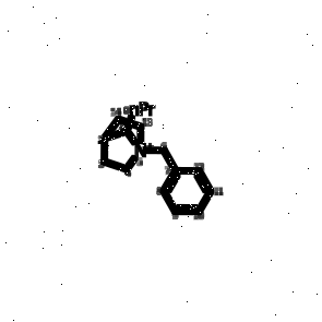 CCCC1C2CC[N+]1(Cc1ccccc1)CC2